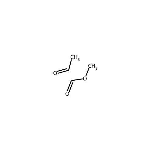 CC=O.COC=O